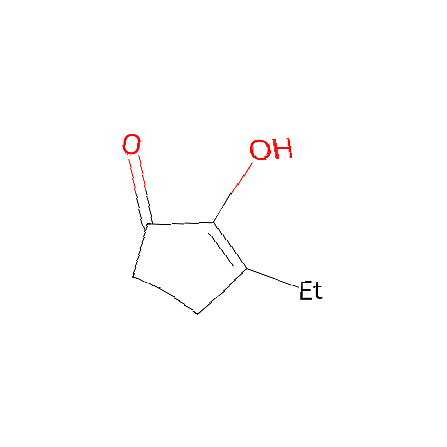 CCC1=C(O)C(=O)CC1